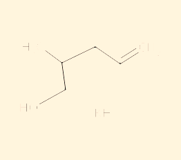 C=CCC(C)CO.[KH]